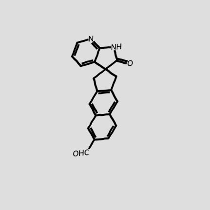 O=Cc1ccc2cc3c(cc2c1)CC1(C3)C(=O)Nc2ncccc21